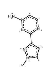 Cn1nnc(-c2nccc(N)n2)n1